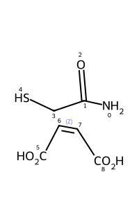 NC(=O)CS.O=C(O)/C=C\C(=O)O